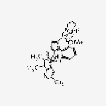 COc1cccc(OC)c1-n1c(NS(=O)(=O)C(C)C(C)c2ncc(C)cn2)nnc1[C@H]1CN2CCC[C@H]2CO1